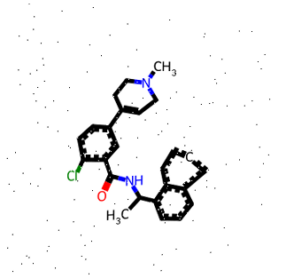 CC(NC(=O)c1cc(C2=CCN(C)CC2)ccc1Cl)c1cccc2ccccc12